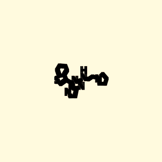 c1ccc2c(-c3nc(NCCN4CCCC4)nc4ccnn34)csc2c1